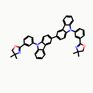 CC1(C)COC(c2cccc(-n3c4ccccc4c4cc(-c5ccc6c(c5)c5ccccc5n6-c5cccc(C6=NC(C)(C)CO6)c5)ccc43)c2)=N1